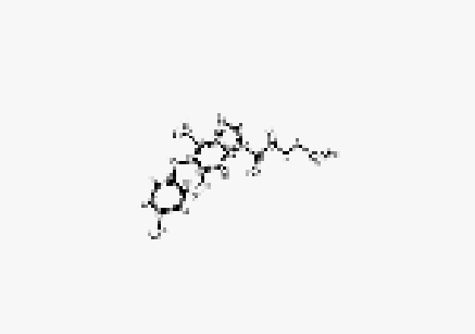 COCCNC(=O)c1cnn2c(O)c(Cc3ccc(Cl)cc3)c(C)nc12